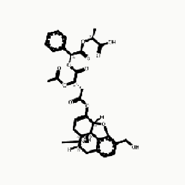 CC(=O)O[C@@H](CC(=O)OC1=CC[C@@]2(O)[C@H]3Cc4ccc(CO)c5c4[C@@]2(CCN3C)[C@H]1O5)C(=O)O[C@H](C(=O)O[C@@H](C)C(=O)O)c1ccccc1